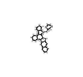 c1ccc2cc3c(cc2c1)Cc1c-3c2ccccc2c2c3ccccc3n(Cc3cnccn3)c12